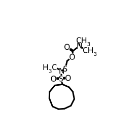 CN(C)C(=O)OCSN(C)S(=O)(=O)C1CCCCCCCCCC1